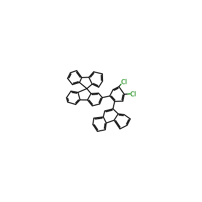 Clc1cc(-c2ccc3c(c2)C2(c4ccccc4-c4ccccc42)c2ccccc2-3)c(-c2cc3ccccc3c3ccccc23)cc1Cl